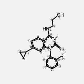 O=c1nc(NCCO)c2ccc(C3CC3)cc2n1-c1ccccc1Cl